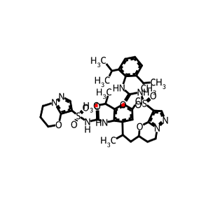 CC(C)c1cccc(C(C)C)c1NC(=O)NS(=O)(=O)c1cnn2c1OC(CC(C)c1cc(Cl)cc(C(C)C)c1NC(=O)NS(=O)(=O)c1cnn3c1OCCC3)CC2